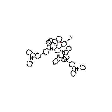 N#Cc1ccc(-c2c(-n3c4ccccc4c4ccccc43)c(-n3c4ccccc4c4cc(-c5ccc6c(c5)c5ccccc5n6-c5ccccc5)ccc43)cc(-n3c4ccccc4c4cc(-c5ccc6c(c5)c5ccccc5n6-c5ccccc5)ccc43)c2-n2c3ccccc3c3ccccc32)cc1